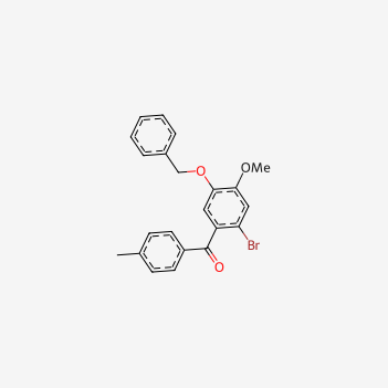 COc1cc(Br)c(C(=O)c2ccc(C)cc2)cc1OCc1ccccc1